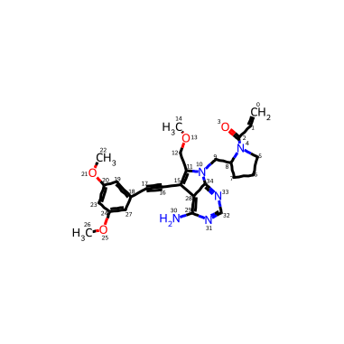 C=CC(=O)N1CCCC1Cn1c(COC)c(C#Cc2cc(OC)cc(OC)c2)c2c(N)ncnc21